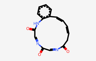 O=C1C=NC(=O)CC=CC=Cc2ccccc2NC(=O)C=N1